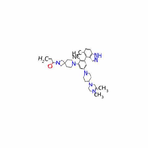 C=CC(=O)N1CC2(CCN(c3cc(N4CCC(N5CCN(C)[C@@H](C)C5)CC4)cc(-c4c(C)ccc5[nH]ncc45)c3C#N)CC2)C1